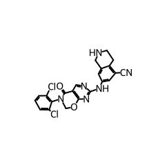 N#Cc1cc(Nc2ncc3c(n2)OCN(c2c(Cl)cccc2Cl)C3=O)cc2c1CCNC2